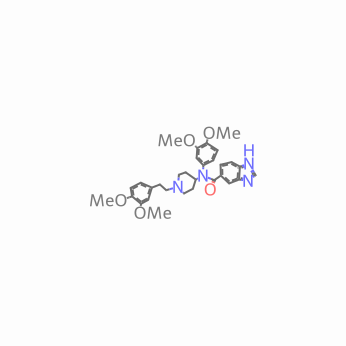 COc1ccc(CCN2CCC(N(C(=O)c3ccc4[nH]cnc4c3)c3ccc(OC)c(OC)c3)CC2)cc1OC